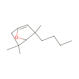 CCCCC1(C)C=C2CC(C)(C)C1O2